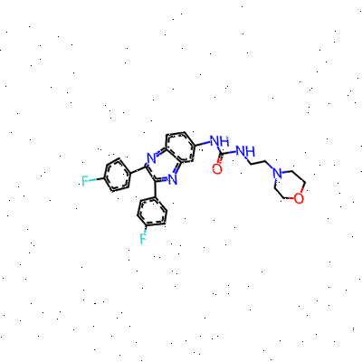 O=C(NCCN1CCOCC1)Nc1ccc2nc(-c3ccc(F)cc3)c(-c3ccc(F)cc3)nc2c1